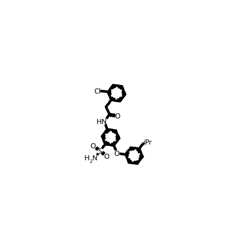 CC(C)c1cccc(Oc2ccc(NC(=O)Cc3ccccc3Cl)cc2S(N)(=O)=O)c1